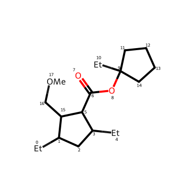 CCC1CC(CC)C(C(=O)OC2(CC)CCCC2)C1COC